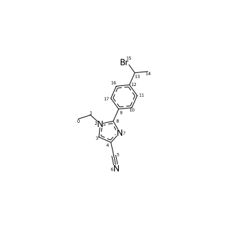 CCn1cc(C#N)nc1-c1ccc(C(C)Br)cc1